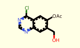 CC(=O)Oc1cc2c(Cl)ncnc2cc1CO